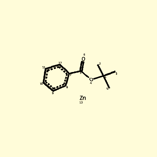 CC(C)(C)OC(=O)c1ccccc1.[Zn]